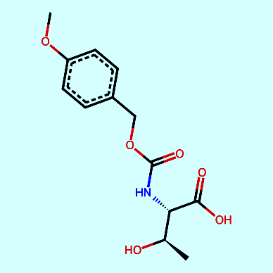 COc1ccc(COC(=O)N[C@H](C(=O)O)[C@@H](C)O)cc1